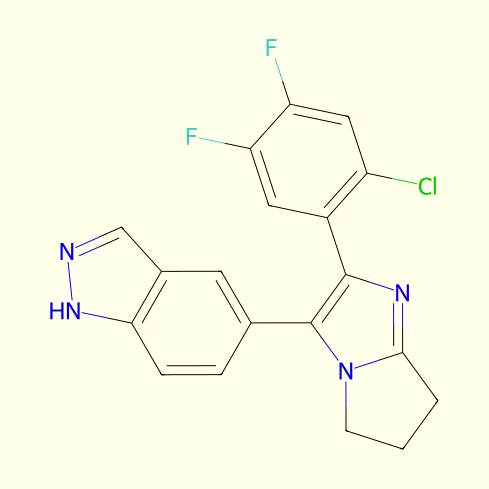 Fc1cc(Cl)c(-c2nc3n(c2-c2ccc4[nH]ncc4c2)CCC3)cc1F